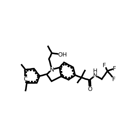 Cc1cc(C)cc(C2Cc3cc(C(C)(C)C(=O)NCC(F)(F)F)ccc3N2CC(C)O)c1